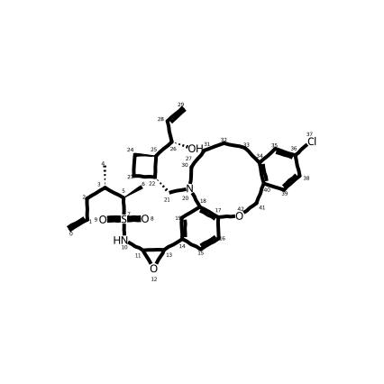 C=CC[C@H](C)[C@@H](C)S(=O)(=O)NC1OC1c1ccc2c(c1)N(C[C@@H]1CC[C@H]1[C@@H](O)C=C)CCCCc1cc(Cl)ccc1CO2